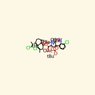 CC(=O)OC1C(C)=C[C@H]2[C@H](C(C)=C(Cl)Cl)CC[C@@H](C)[C@]2(O)[C@H]1OC(=O)[C@@H]1C[C@@]2(OC(=O)OC(C)(C)C)c3cccc(Cl)c3N(C)O[C@H]2[N+]1(C(=O)[O-])C(C)(C)C